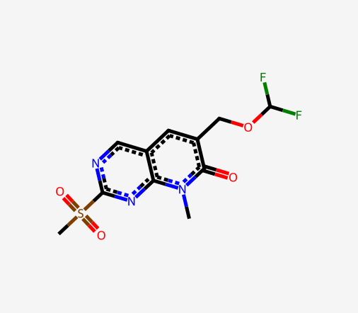 Cn1c(=O)c(COC(F)F)cc2cnc(S(C)(=O)=O)nc21